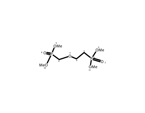 COP(=O)(CCOCP(=O)(OC)OC)OC